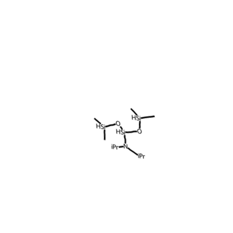 CC(C)N(C(C)C)[SiH](O[SiH](C)C)O[SiH](C)C